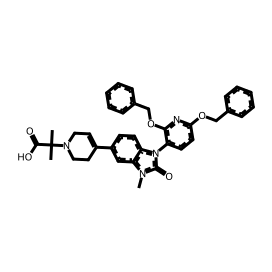 Cn1c(=O)n(-c2ccc(OCc3ccccc3)nc2OCc2ccccc2)c2ccc(C3=CCN(C(C)(C)C(=O)O)CC3)cc21